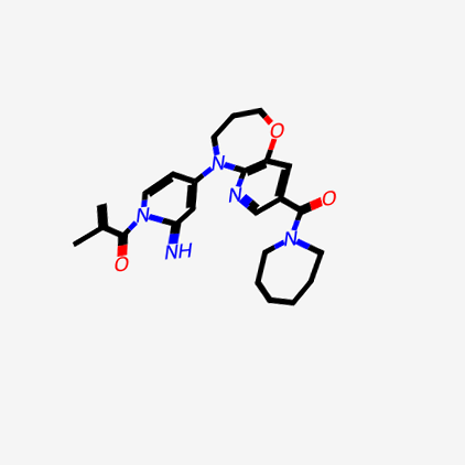 C=C(C)C(=O)n1ccc(N2CCCOc3cc(C(=O)N4CCCCCC4)cnc32)cc1=N